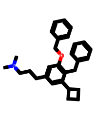 CN(C)CCCc1cc(OCc2ccccc2)c(Cc2ccccc2)c(C2CCC2)c1